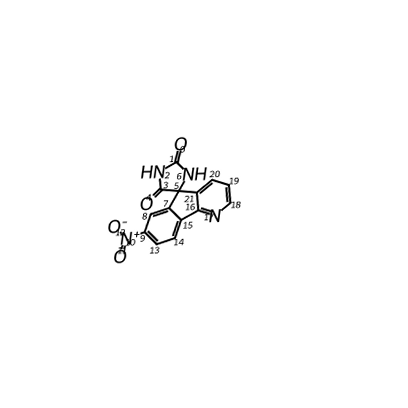 O=C1NC(=O)C2(N1)c1cc([N+](=O)[O-])ccc1-c1ncccc12